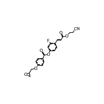 N#CCCOC(=O)/C=C/c1ccc(OC(=O)c2ccc(OCC3CO3)cc2)cc1F